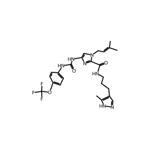 CC(C)=CCn1cc(NC(=O)Nc2ccc(OC(F)(F)F)cc2)nc1C(=O)NCCCc1cn[nH]c1C